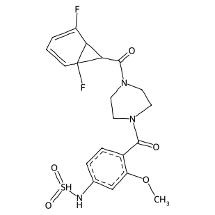 COc1cc(N[SH](=O)=O)ccc1C(=O)N1CCN(C(=O)C2C3C(F)=CC=CC23F)CC1